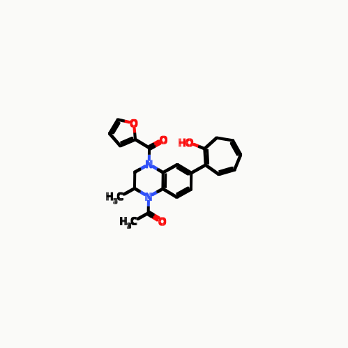 CC(=O)N1c2ccc(C3=C(O)CC=CC=C3)cc2N(C(=O)c2ccco2)CC1C